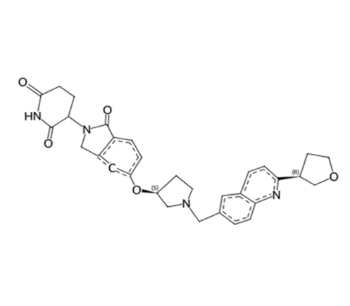 O=C1CCC(N2Cc3cc(O[C@H]4CCN(Cc5ccc6nc([C@H]7CCOC7)ccc6c5)C4)ccc3C2=O)C(=O)N1